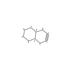 C1#CCC2CCCCC2C1